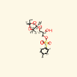 Cc1ccc(S(=O)(=O)OC[C@@H](O)[C@@H]2C[C@H]3OC(C)(C)O[C@H]3O2)cc1